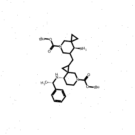 C[C@H](N[C@H]1CCN(C(=O)OC(C)(C)C)CC12CC2CC1CN(C(=O)OC(C)(C)C)CC2(CC2)[C@H]1N)c1ccccc1